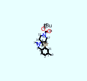 Cc1ccc(CN(C)C2(C)CCN(C(=O)OC(C)(C)C)CC2)c(Br)c1